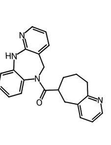 O=C(C1CCCc2ncccc2C1)N1Cc2cccnc2Nc2ccccc21